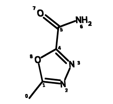 Cc1nnc(C(N)=O)o1